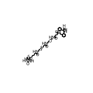 O=C(CCCC[C@@H]1SC[C@@H]2NC(=O)N[C@@H]21)NCCSSCCC(=O)NCCOCCNC(=O)CCC(=O)N1Cc2ccccc2-c2nn[nH]c2-c2ccccc21